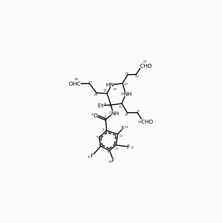 CCC1(NC(=O)c2cc(F)c(F)c(F)c2F)C(CCC=O)NC(CCC=O)NC1CCC=O